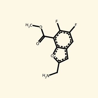 COC(=O)c1c(F)c(F)cc2cc(CN)oc12